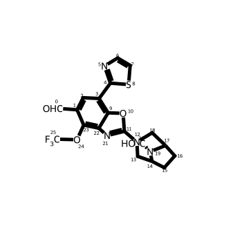 O=Cc1cc(-c2nccs2)c2oc(N3CC4CCC(C3)N4C(=O)O)nc2c1OC(F)(F)F